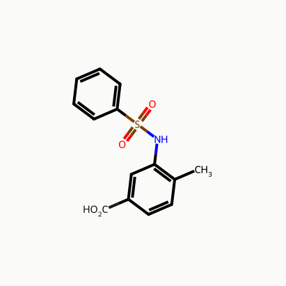 Cc1ccc(C(=O)O)cc1NS(=O)(=O)c1ccccc1